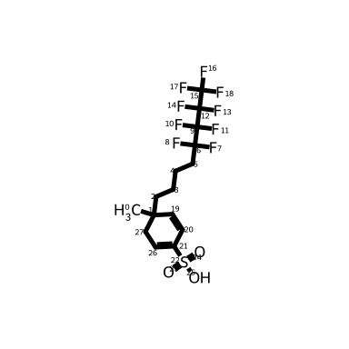 CC1(CCCCC(F)(F)C(F)(F)C(F)(F)C(F)(F)F)C=CC(S(=O)(=O)O)=CC1